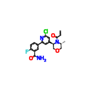 C=CC(=O)N1[C@H](C)COC[C@H]1c1cc(Cl)nc(-c2ccc(F)c(C(N)=O)c2)c1